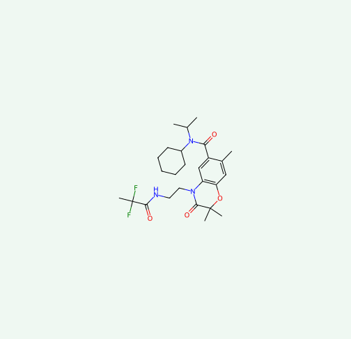 Cc1cc2c(cc1C(=O)N(C(C)C)C1CCCCC1)N(CCNC(=O)C(C)(F)F)C(=O)C(C)(C)O2